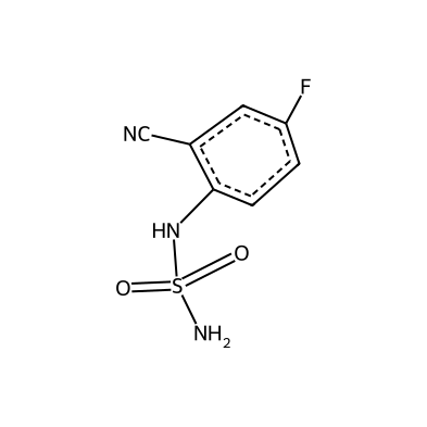 N#Cc1cc(F)ccc1NS(N)(=O)=O